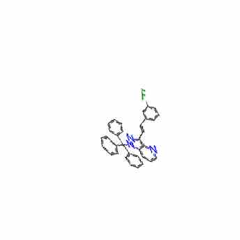 Fc1cccc(C=Cc2nn(C(c3ccccc3)(c3ccccc3)c3ccccc3)c3cccnc23)c1